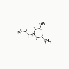 CC(C)CCN(CCN)CCC(C)C